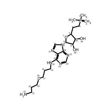 C=P(C)(C)CCC1O[C@@H](n2cnc3c(NCCCOCCCN)ncnc32)[C@H](O)[C@@H]1O